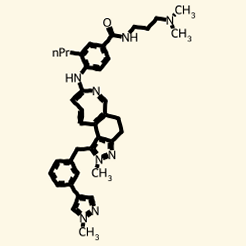 CCCc1cc(C(=O)NCCCN(C)C)ccc1NC1=C/C=C/C2=C(/C=N\1)CCc1nn(C)c(Cc3cccc(-c4cnn(C)c4)c3)c12